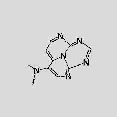 CN(C)C1=CN=C2N=CN=C3N=CC=C1N32